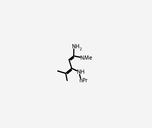 CCCNC(/C=C(/N)NC)=C(C)C